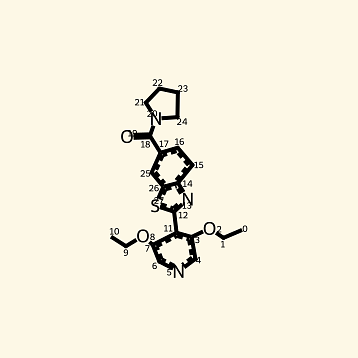 CCOc1cncc(OCC)c1-c1nc2ccc(C(=O)N3CCCC3)cc2s1